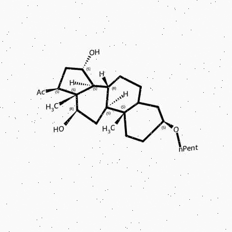 CCCCCO[C@H]1CC[C@@]2(C)C(CC[C@H]3[C@@H]4[C@@H](O)C[C@H](C(C)=O)[C@@]4(C)[C@H](O)C[C@@H]32)C1